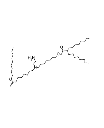 C=C(CCCCCCCN(CCN)CCCCCCCOCC(=O)C(CCCCCCCC)CCCCCCCC)OCCCCCCCCC